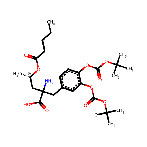 CCCCC(=O)O[C@@H](C)CC(N)(Cc1ccc(OC(=O)OC(C)(C)C)c(OC(=O)OC(C)(C)C)c1)C(=O)O